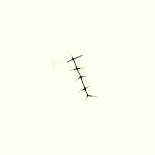 FC(F)C(F)(F)C(F)(F)C(F)(F)C(F)(C(F)(F)F)C(F)(F)F